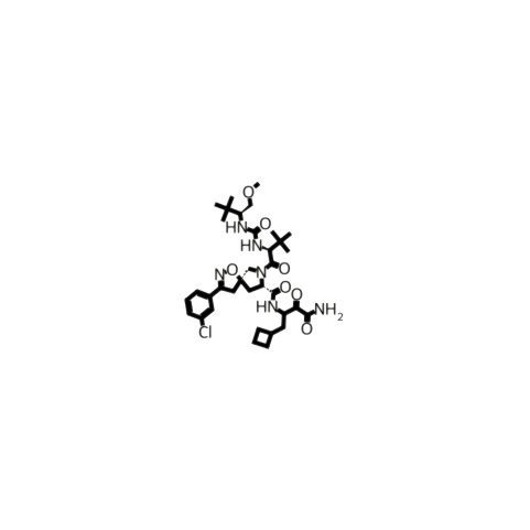 COC[C@@H](NC(=O)N[C@H](C(=O)N1C[C@@]2(CC(c3cccc(Cl)c3)=NO2)C[C@H]1C(=O)NC(CC1CCC1)C(=O)C(N)=O)C(C)(C)C)C(C)(C)C